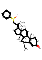 CO/C(C[S+]([O-])c1ccccc1)=C1/CC[C@H]2[C@@H]3C[C@H](C)C4=CC(=O)CC[C@]4(C)C3=CC[C@]12C